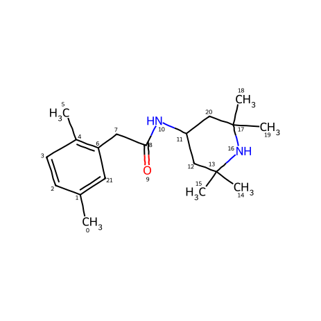 Cc1ccc(C)c(CC(=O)NC2CC(C)(C)NC(C)(C)C2)c1